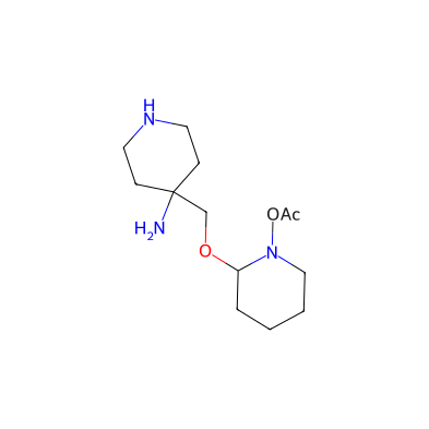 CC(=O)ON1CCCCC1OCC1(N)CCNCC1